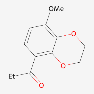 CCC(=O)c1ccc(OC)c2c1OCCO2